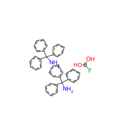 NC(c1ccccc1)(c1ccccc1)c1ccccc1.NC(c1ccccc1)(c1ccccc1)c1ccccc1.OB(O)F